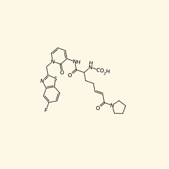 O=C(O)NC(CCC=CC(=O)N1CCCC1)C(=O)Nc1cccn(Cc2nc3cc(F)ccc3s2)c1=O